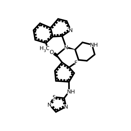 Cc1cccc2ccnc(N(C(=O)c3ccc(Nc4ncns4)cc3F)[C@@H]3CCCNC3)c12